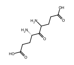 NC(CCC(=O)O)C(=O)[C@@H](N)CCC(=O)O